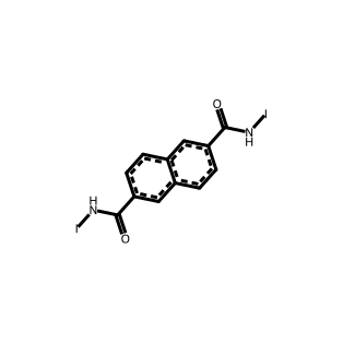 O=C(NI)c1ccc2cc(C(=O)NI)ccc2c1